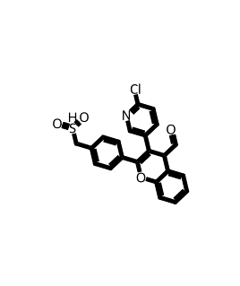 O=CC1C(c2ccc(Cl)nc2)=C(c2ccc(C[SH](=O)=O)cc2)Oc2ccccc21